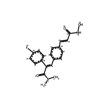 CN(C)C(=O)/C(=C/c1ccc(/C=C/C(=O)NO)cc1)c1ccc(F)cc1